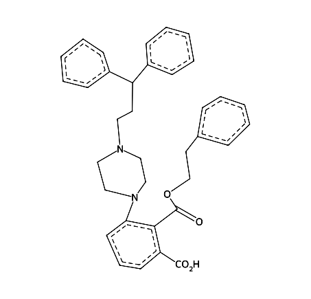 O=C(O)c1cccc(N2CCN(CCC(c3ccccc3)c3ccccc3)CC2)c1C(=O)OCCc1ccccc1